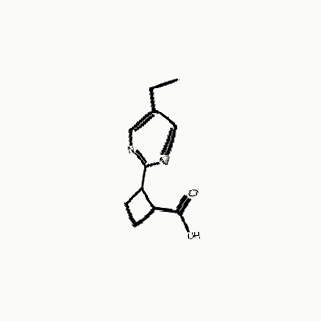 CCc1cnc(C2CCC2C(=O)O)nc1